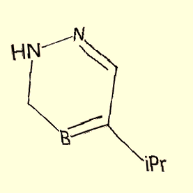 CC(C)C1=BCNN=C1